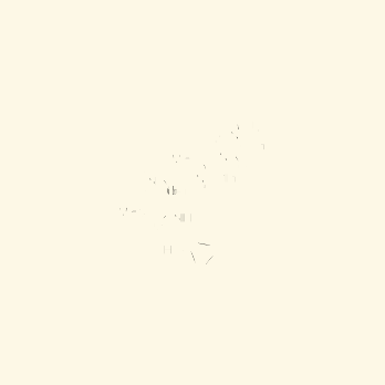 CCC(C)C(C(CC(=O)N1CCCC1C(CC(=O)NCCc1ccccc1O)SC)OC)N(C)C(=O)C(NC(=O)C(C(C)C)N(C)C)C(C)C